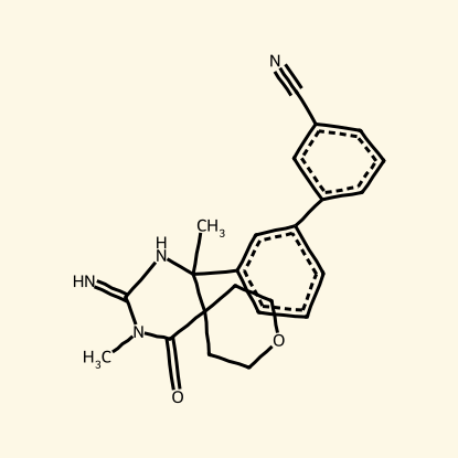 CN1C(=N)NC(C)(c2cccc(-c3cccc(C#N)c3)c2)C2(CCOCC2)C1=O